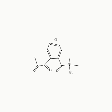 C=C(C)C(=O)c1ccccc1C(=O)[N+](C)(C)CC.[Cl-]